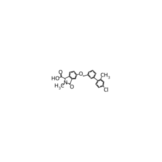 Cc1cc(Cl)ccc1-c1cccc(COc2ccc3c(c2)C(=O)N(C)C3C(=O)O)c1